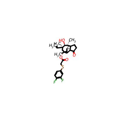 C=C[C@]1(C)C[C@@H](OC(=O)CSc2ccc(F)c(F)c2)C2C(C)CCC3(CCC(=O)C23)[C@@H](C)[C@@H]1O